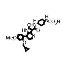 COc1ccc(-c2ccnc3c(C(=O)N[C@H]4CC[C@H](NC(=O)O)CC4)c(C)[nH]c23)c(OCC2CC2)c1